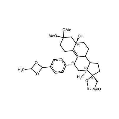 CCO[C@@]1(COC)CCC2C3CC[C@@]4(O)CC(OC)(OC)CCC4=C3[C@@H](c3ccc(C4OC(C)O4)cc3)C[C@@]21C